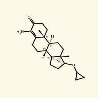 C[C@]12CCC(=O)C(N)=C1CC[C@@H]1[C@@H]2CC[C@]2(C)C(OC3CC3)CC[C@@H]12